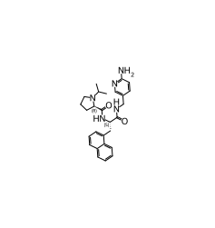 CC(C)N1CCC[C@@H]1C(=O)N[C@@H](Cc1cccc2ccccc12)C(=O)NCc1ccc(N)nc1